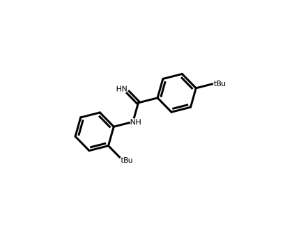 CC(C)(C)c1ccc(C(=N)Nc2ccccc2C(C)(C)C)cc1